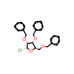 Cl[C@H]1O[C@H](COCc2ccccc2)[C@@H](OCc2ccccc2)[C@H]1OCc1ccccc1